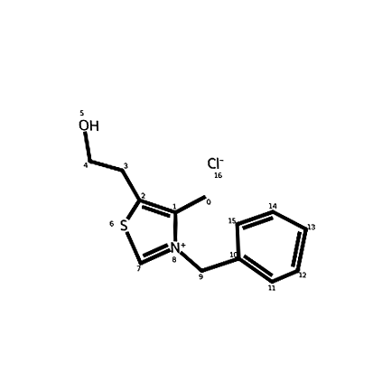 Cc1c(CCO)sc[n+]1Cc1ccccc1.[Cl-]